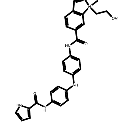 C[N+]1(CCO)C=Cc2ccc(C(=O)Nc3ccc(Nc4ccc(NC(=O)c5ccc[nH]5)cc4)cc3)cc21